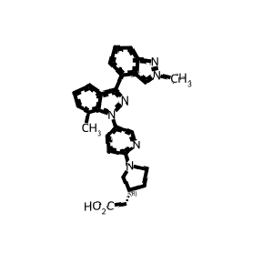 Cc1cccc2c(-c3cccc4nn(C)cc34)nn(-c3ccc(N4CC[C@H](CC(=O)O)C4)nc3)c12